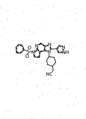 N#CCC1CCC(n2c(-c3cn[nH]c3)nc3cnc4c(ccn4S(=O)(=O)c4ccccc4)c32)CC1